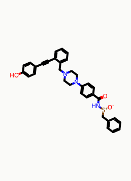 O=C(N[S+]([O-])Cc1ccccc1)c1ccc(N2CCN(Cc3ccccc3C#Cc3ccc(O)cc3)CC2)cc1